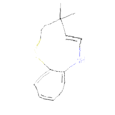 C[C@H]1Sc2ccccc2N/C=C/C1(C)C